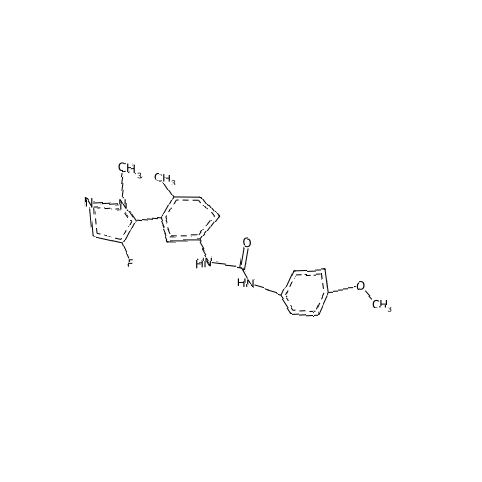 COc1ccc(NC(=O)Nc2ccc(C)c(-c3c(F)cnn3C)c2)cc1